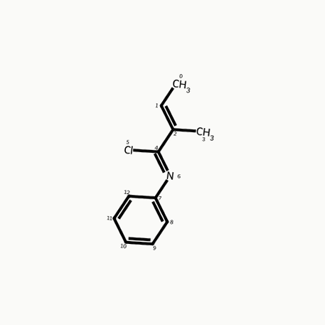 C/C=C(C)/C(Cl)=N/c1ccccc1